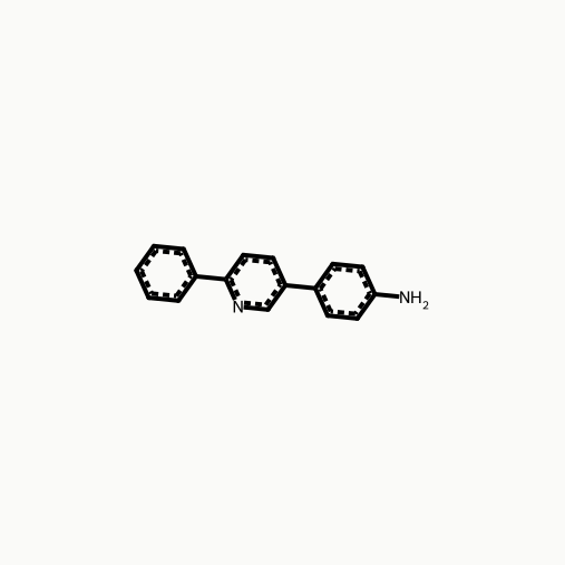 Nc1ccc(-c2ccc(-c3ccccc3)nc2)cc1